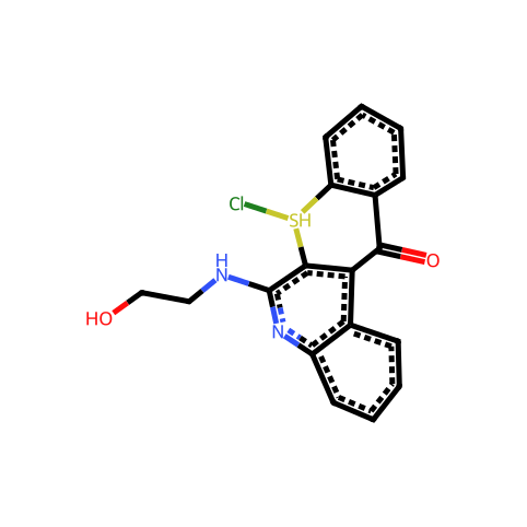 O=C1c2ccccc2[SH](Cl)c2c(NCCO)nc3ccccc3c21